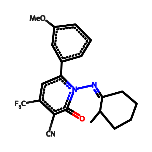 COc1cccc(-c2cc(C(F)(F)F)c(C#N)c(=O)n2/N=C2/CCCCC2C)c1